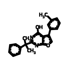 Cc1cccc(-c2coc3nc(C(C)(C)c4ccccc4)nc(O)c23)c1